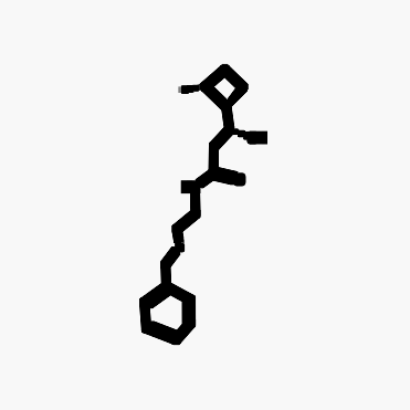 [CH2][C@@H]1CC[C@H]1[C@H](O)CC(=O)NCCSCc1ccccc1